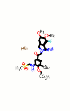 Br.CCOc1cc2c(c(F)c1OCC)C(=N)N(CC(=O)c1cc(NCS(C)(=O)=O)c(OCC(=O)O)c(C(C)(C)C)c1)C2